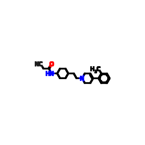 Cc1ccccc1C1=CCN(CCC2CCC(NC(=O)CC#N)CC2)CC1